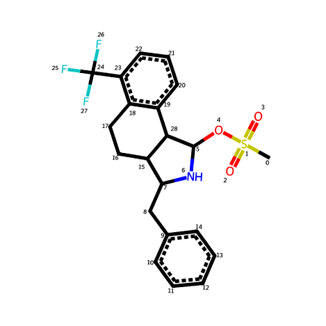 CS(=O)(=O)OC1NC(Cc2ccccc2)C2CCc3c(cccc3C(F)(F)F)C12